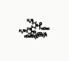 CC(=O)O.CC(=O)O.CCCCCCCCCCCC(=O)N(CCN)CCN(CCN)C(=O)CCCCCCCCCCC